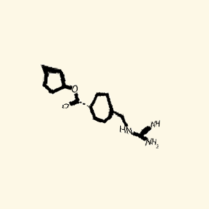 N=C(N)NC[C@H]1CC[C@H](C(=O)OC2CCCC2)CC1